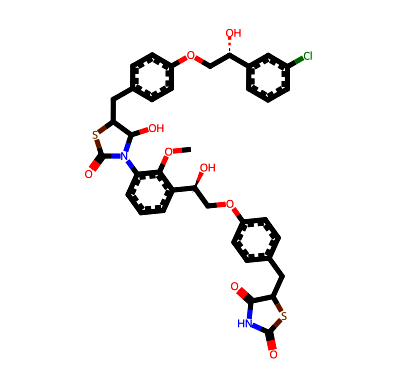 COc1c([C@@H](O)COc2ccc(CC3SC(=O)NC3=O)cc2)cccc1N1C(=O)SC(Cc2ccc(OC[C@H](O)c3cccc(Cl)c3)cc2)C1O